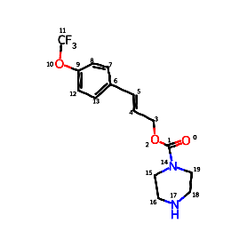 O=C(OCC=Cc1ccc(OC(F)(F)F)cc1)N1CCNCC1